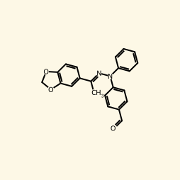 C/C(=N\N(c1ccccc1)c1ccc(C=O)cc1)c1ccc2c(c1)OCO2